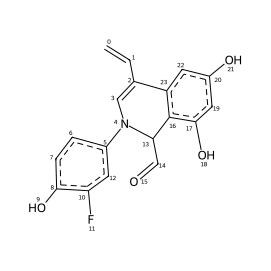 C=CC1=CN(c2ccc(O)c(F)c2)C(C=O)c2c(O)cc(O)cc21